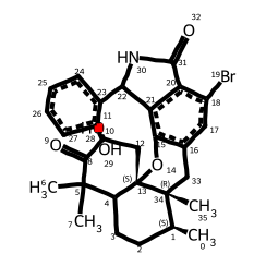 C[C@H]1CCC2C(C)(C)C(=O)C(O)C[C@]23Oc2c(cc(Br)c4c2C(c2ccccc2O)NC4=O)C[C@]13C